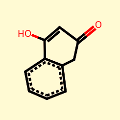 O=C1C=C(O)c2ccccc2C1